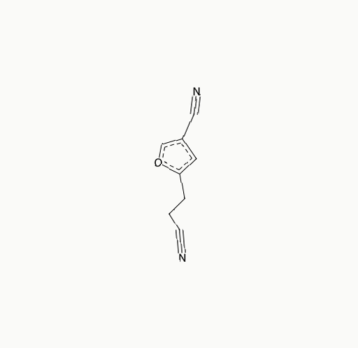 N#CCCc1cc(C#N)co1